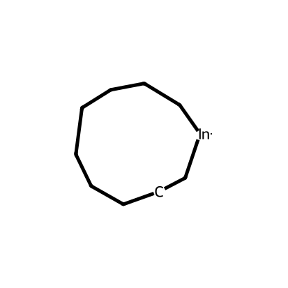 C1CCC[CH2][In][CH2]CCC1